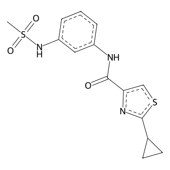 CS(=O)(=O)Nc1cccc(NC(=O)c2csc(C3CC3)n2)c1